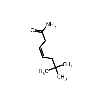 CC(C)(C)C/C=C\CC(N)=O